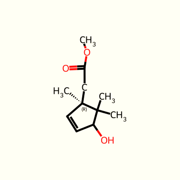 COC(=O)C[C@]1(C)C=CC(O)C1(C)C